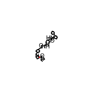 CCN(CC)C(=O)C1CCCN(Cc2ccc(CCC(=O)NCCN3CCC(OC(=O)Nc4ccccc4-c4ccccc4)CC3)cc2)C1